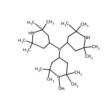 CC1(C)CC(N(C2CC(C)(C)NC(C)(C)C2)C2CC(C)(C)N(O)C(C)(C)C2)CC(C)(C)N1